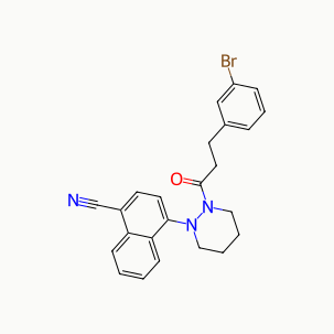 N#Cc1ccc(N2CCCCN2C(=O)CCc2cccc(Br)c2)c2ccccc12